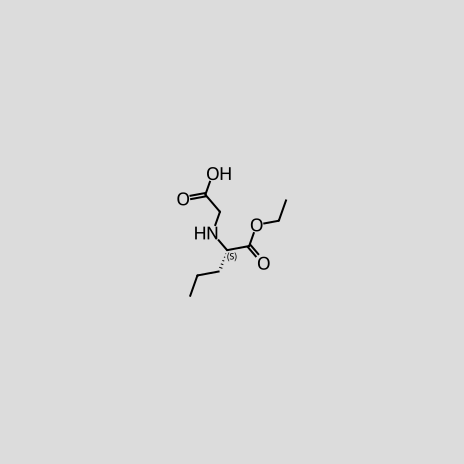 CCC[C@H](NCC(=O)O)C(=O)OCC